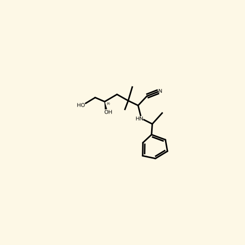 CC(NC(C#N)C(C)(C)C[C@@H](O)CO)c1ccccc1